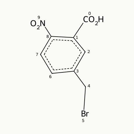 O=C(O)c1cc(CBr)ccc1[N+](=O)[O-]